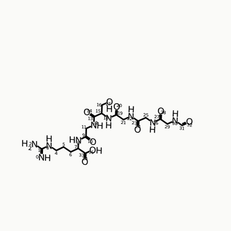 N=C(N)NCCCC(NC(=O)CNC(=O)C(CO)NC(=O)CNC(=O)CNC(=O)CNC=O)C(=O)O